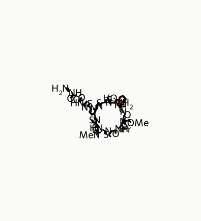 CNC(=O)C[C@@H]1NC(=O)c2csc(n2)-c2ccc(-c3nc(NC(=O)OCC(=O)NCCN)cs3)nc2-c2csc(n2)-c2csc(n2)[C@H]([C@@H](O)c2ccccc2)N(N)C(=O)CNC(=O)c2nc(sc2COC)[C@H](C(C)C)NC(=O)c2nc1sc2C